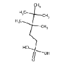 CC(C)(C)C(C)(C)CCP(=O)(O)O